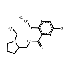 CCN1CCCC1CNC(=O)c1nc(Cl)cnc1OC.Cl